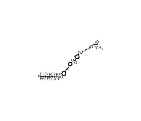 CCC1(COCCCCCCOc2ccc(C(=O)Oc3ccc(C#Cc4ccc(OC(F)(F)C(F)(F)C(F)(F)C(F)(F)C(F)(F)C(F)(F)C(F)(F)C(F)(F)C(F)(F)F)cc4)cc3)cc2)COC1